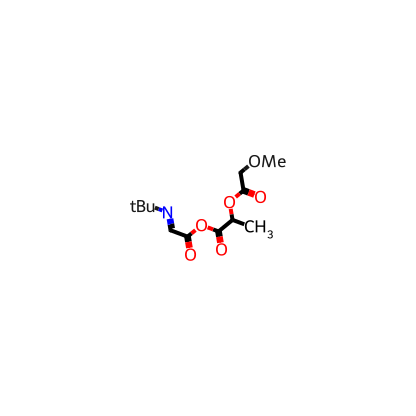 COCC(=O)OC(C)C(=O)OC(=O)/C=N/C(C)(C)C